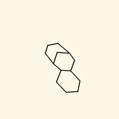 C1CCC2C(C1)CC1CCCC2C1